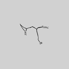 CC(=O)OC(CO)CC1CN1